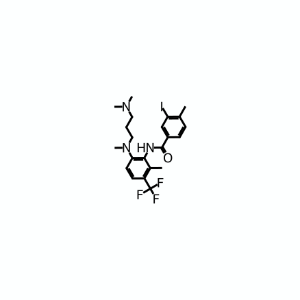 Cc1ccc(C(=O)Nc2c(N(C)CCCN(C)C)ccc(C(F)(F)F)c2C)cc1I